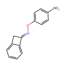 O=[N+]([O-])c1ccc(O/N=C2\Cc3ccccc32)cc1